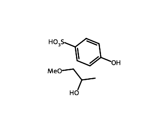 COCC(C)O.O=S(=O)(O)c1ccc(O)cc1